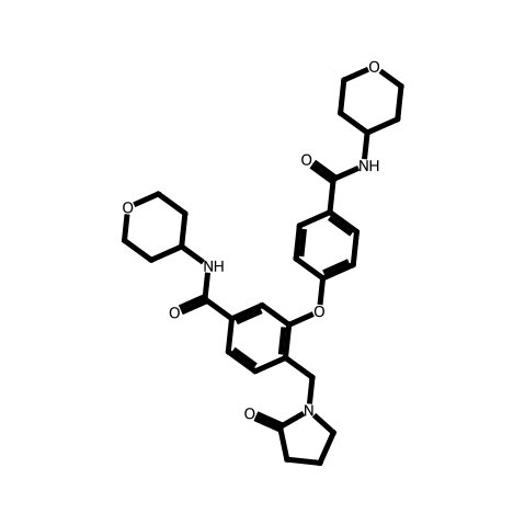 O=C(NC1CCOCC1)c1ccc(Oc2cc(C(=O)NC3CCOCC3)ccc2CN2CCCC2=O)cc1